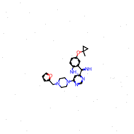 CC1(Oc2ccc(N)c(C(=N)c3cc(N4CCN(Cc5ccco5)CC4)ncn3)c2)CC1